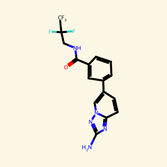 Nc1nc2ccc(-c3cccc(C(=O)NCC(F)(F)C(F)(F)F)c3)cn2n1